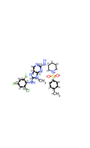 Cc1ccc(S(=O)(=O)N2CCC[C@@H](Nc3ncc4nc(Nc5c(F)cc(F)cc5Cl)n(C)c4n3)C2)cc1